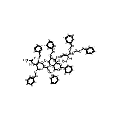 CC(=O)NC1C(OCc2ccccc2)[C@H](O[C@@H]2OC3COC(c4ccccc4)O[C@H]3C(O[C@@H](O)/C=C(\O)[C@@H](CCOCc3ccccc3)OCc3ccccc3)C2OCc2ccccc2)C(COCc2ccccc2)O[C@H]1OCc1ccccc1